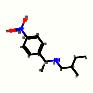 CCC(C)CN[C@H](C)c1ccc([N+](=O)[O-])cc1